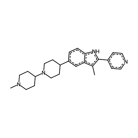 Cc1c(-c2ccncc2)[nH]c2ccc(C3CCN(C4CCN(C)CC4)CC3)cc12